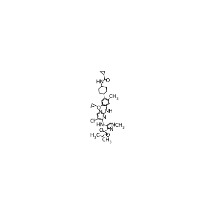 Cc1cc(Nc2ncc(Cl)c(Nc3cn(C)nc3S(=O)(=O)C(C)C)n2)c(OC2CC2)cc1[C@H]1CC[C@H](NC(=O)C2CC2)CC1